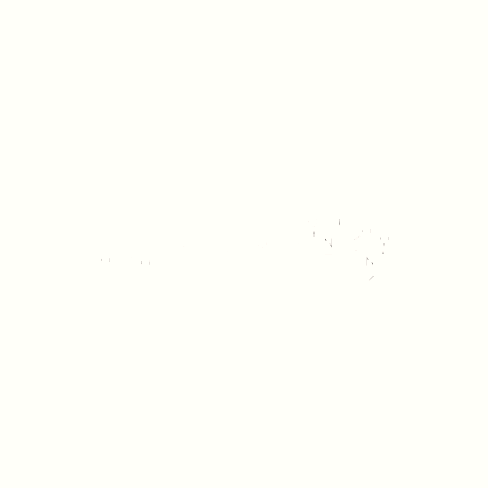 COCCOCCOCCOCCOCCOC(=O)N[C@@H](CC(C)C)C(=O)ON1C(=O)CCC1=O